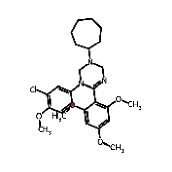 COc1cc(OC)c(C2=NCN(C3CCCCCC3)CN2c2ccc(OC)c(Cl)c2)c(OC)c1